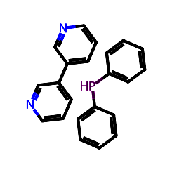 c1ccc(Pc2ccccc2)cc1.c1cncc(-c2cccnc2)c1